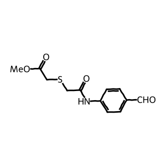 COC(=O)CSCC(=O)Nc1ccc(C=O)cc1